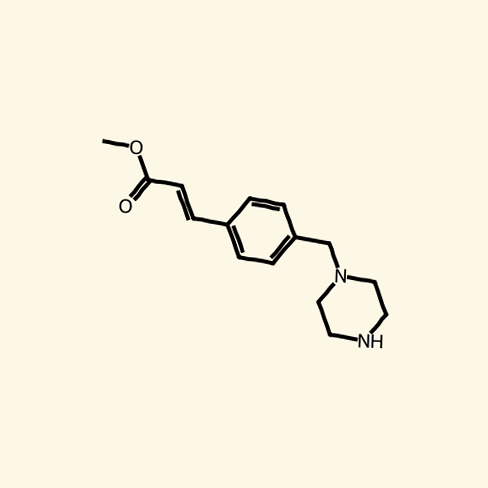 COC(=O)C=Cc1ccc(CN2CCNCC2)cc1